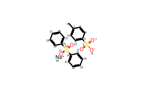 Cc1ccc(S(=O)(=O)[O-])cc1.O=S(=O)(c1ccccc1)c1ccccc1.[Na+]